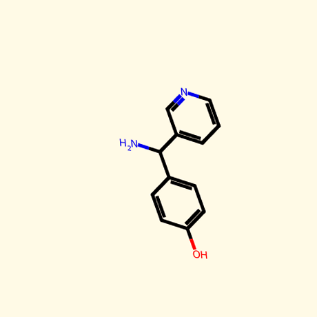 NC(c1ccc(O)cc1)c1cccnc1